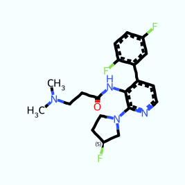 CN(C)CCC(=O)Nc1c(-c2cc(F)ccc2F)ccnc1N1CC[C@H](F)C1